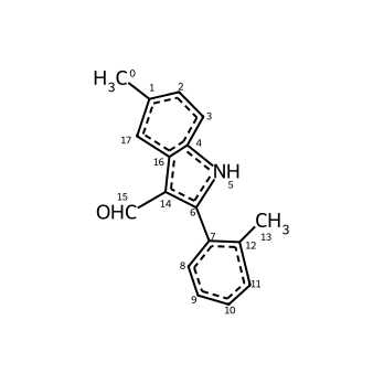 Cc1ccc2[nH]c(-c3ccccc3C)c(C=O)c2c1